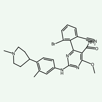 COc1nc(Nc2ccc(C3CCN(C)CC3)c(C)c2)nc(-c2c(Br)cccc2C#N)c1C(N)=O